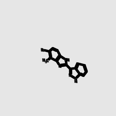 Cc1c(Br)ccc2[nH]c(-c3n[nH]c4ccccc34)nc12